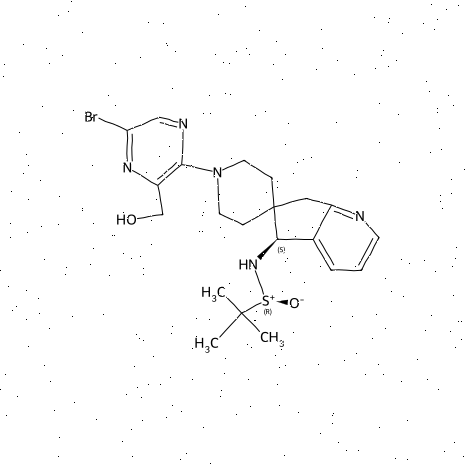 CC(C)(C)[S@+]([O-])N[C@@H]1c2cccnc2CC12CCN(c1ncc(Br)nc1CO)CC2